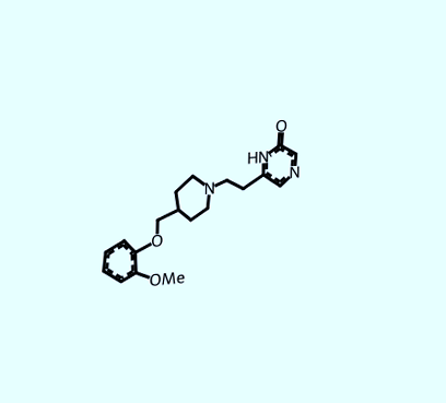 COc1ccccc1OCC1CCN(CCc2cncc(=O)[nH]2)CC1